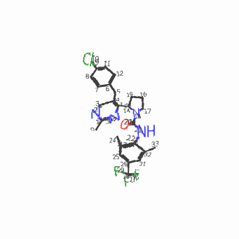 Cc1ncc(Cc2ccc(Cl)cc2)c([C@H]2CCCN2C(=O)Nc2c(C)cc(C(F)(F)F)cc2C)n1